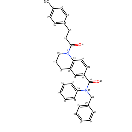 N#Cc1ccc(CCC(=O)N2CCCc3cc(C(=O)N(Cc4ccccc4)c4ccccc4)ccc32)cc1